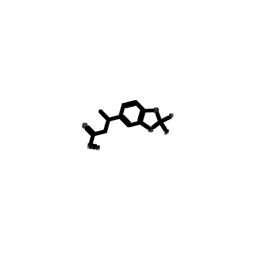 CNC(=O)CC(C)c1ccc2c(c1)OC(F)(F)O2